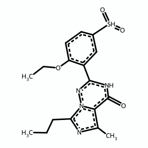 CCCc1nc(C)c2c(=O)[nH]c(-c3cc([SH](=O)=O)ccc3OCC)nn12